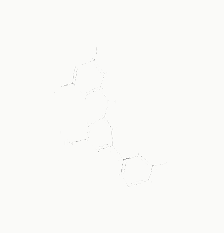 Cc1cc(F)cc(Nc2cc(NC(C)C)nc(-c3cccc(N)n3)n2)c1